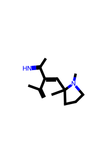 C=C(C)/C(=C\C1(C)CCCN1C)C(C)=N